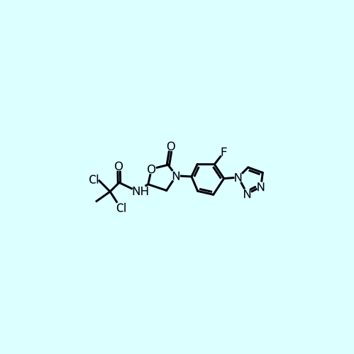 CC(Cl)(Cl)C(=O)NC1CN(c2ccc(-n3ccnn3)c(F)c2)C(=O)O1